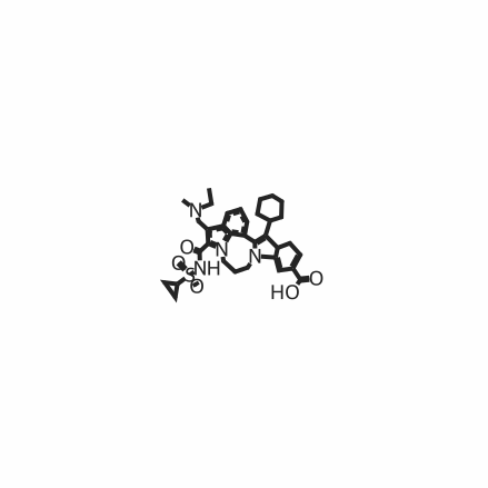 CCN(C)Cc1c(C(=O)NS(=O)(=O)C2CC2)n2c3c(cccc13)C1=C(C3CCCCC3)C3CC=C(C(=O)O)C=C3N1CCC2